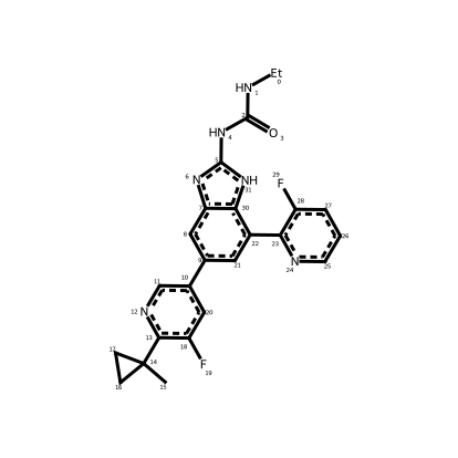 CCNC(=O)Nc1nc2cc(-c3cnc(C4(C)CC4)c(F)c3)cc(-c3ncccc3F)c2[nH]1